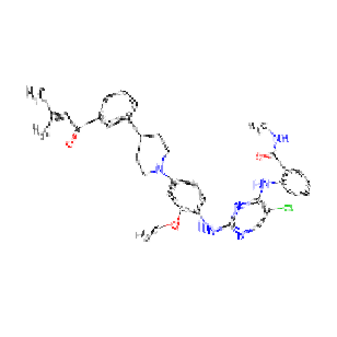 CNC(=O)c1ccccc1Nc1nc(Nc2ccc(N3CCC(c4cccc(C(=O)C=C(C)C)c4)CC3)cc2OC)ncc1Cl